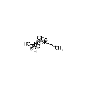 C#Cc1cn([C@@H]2CC(O)[C@H](COC(=O)CCCCCCC)O2)c(=O)[nH]c1=O